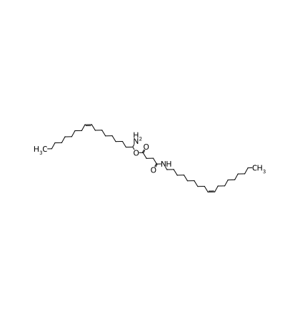 CCCCCCCC/C=C\CCCCCCCCNC(=O)CCC(=O)OC(N)CCCCCCC/C=C\CCCCCCCC